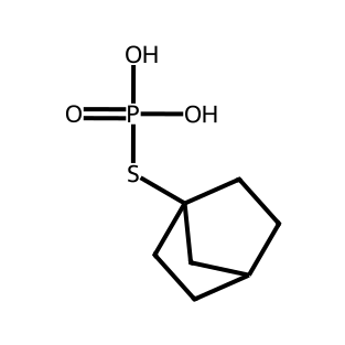 O=P(O)(O)SC12CCC(CC1)C2